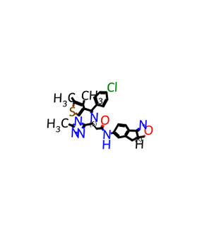 Cc1sc2c(c1C)C(c1ccc(Cl)cc1)=N[C@@H](CC(=O)Nc1ccc3c(c1)C[C@H]1CON=C31)c1nnc(C)n1-2